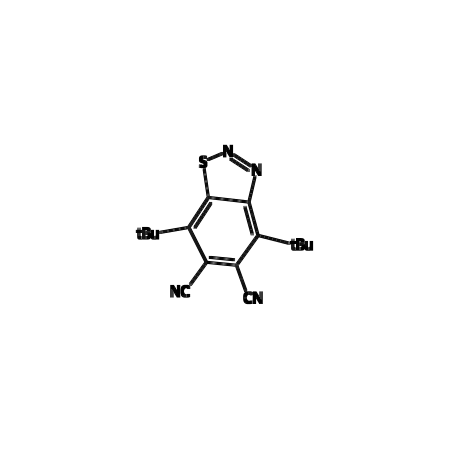 CC(C)(C)c1c(C#N)c(C#N)c(C(C)(C)C)c2snnc12